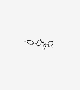 Cc1ccc(-c2ccc(COc3cc(C)cc(C)c3)cc2)cc1